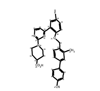 Cc1cc(-c2ccc(C#N)cc2)ccc1COc1ccc(F)cc1-c1ccnc(N2CCC(C(=O)O)CC2)n1